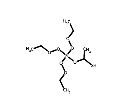 CCOO[Si](OOCC)(OOCC)OC(C)S